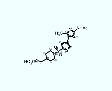 CC(=O)Nc1nc(C)c(-c2csc(S(=O)(=O)N3CCC(CNC(=O)O)CC3)c2)s1